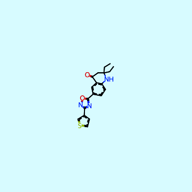 CCC1(CC)CC(=O)c2cc(-c3nc(-c4ccsc4)no3)ccc2N1